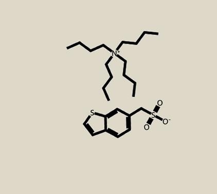 CCCC[N+](CCCC)(CCCC)CCCC.O=S(=O)([O-])Cc1ccc2ccsc2c1